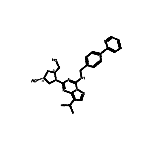 CC(C)c1cnn2c(NCc3ccc(-c4ccccn4)cc3)nc(N3C[C@H](O)C[C@H]3CO)nc12